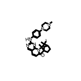 CN1CCN(c2ccc(Nc3ncc4ccc(=O)n(C5(C)C6(C)CCC(C6)C5(C)I)c4n3)cc2)CC1